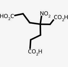 O=C(O)CCC(CCC(=O)O)(CC(=O)O)[N+](=O)[O-]